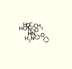 CC(C)C(NC(=O)O)C(=O)Nc1cc(Oc2ccccc2)ccc1N